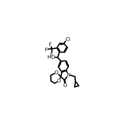 O=C1N(CC2CC2)c2ccc(C(O)c3ccc(Cl)cc3C(F)(F)F)cc2C12OCCCO2